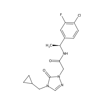 C[C@H](NC(=O)Cn1ncn(CC2CC2)c1=O)c1ccc(Cl)c(F)c1